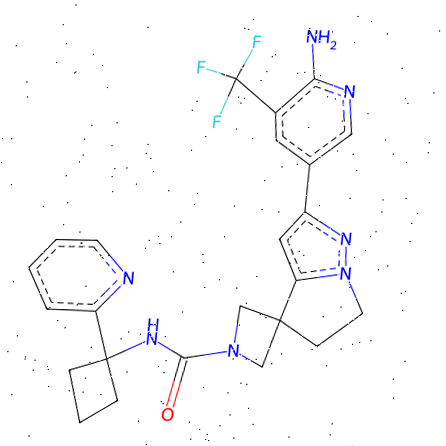 Nc1ncc(-c2cc3n(n2)CCC32CN(C(=O)NC3(c4ccccn4)CCC3)C2)cc1C(F)(F)F